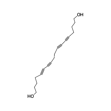 OCCCCC#CC#CCCC#CC#CCCCCO